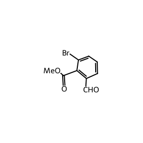 COC(=O)c1c(Br)cccc1C=O